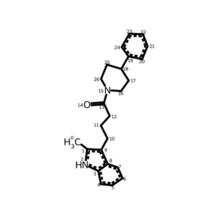 Cc1[nH]c2ccccc2c1CCCC(=O)N1CCC(c2ccccc2)CC1